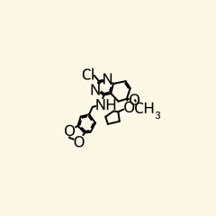 COC1(OC2CCCC2)C=Cc2nc(Cl)nc(NCc3ccc4c(c3)OCO4)c2C1